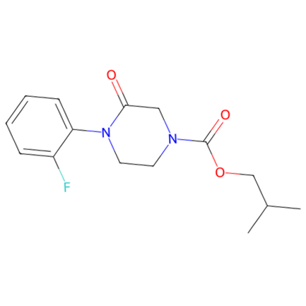 CC(C)COC(=O)N1CCN(c2ccccc2F)C(=O)C1